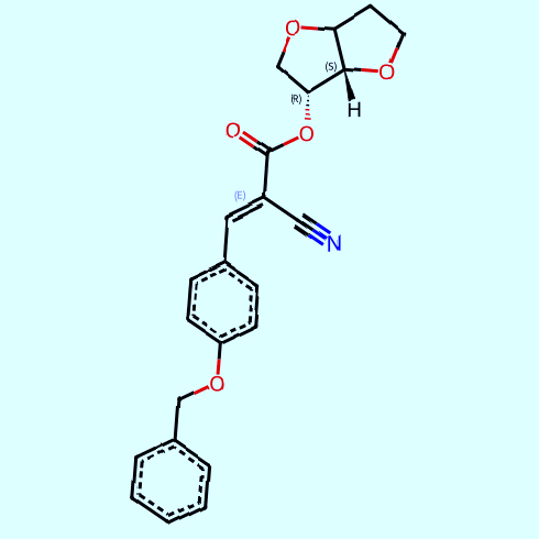 N#C/C(=C\c1ccc(OCc2ccccc2)cc1)C(=O)O[C@@H]1COC2CCO[C@@H]21